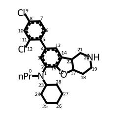 CCCN(c1cc(-c2ccc(Cl)cc2Cl)cc2c1OC1CCNCC21)C1CCCCC1